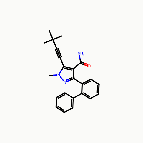 Cn1nc(-c2ccccc2-c2ccccc2)c(C(N)=O)c1C#CC(C)(C)C